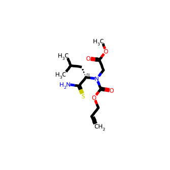 C=CCOC(=O)N(CC(=O)OC)[C@@H](CC(C)C)C(N)=S